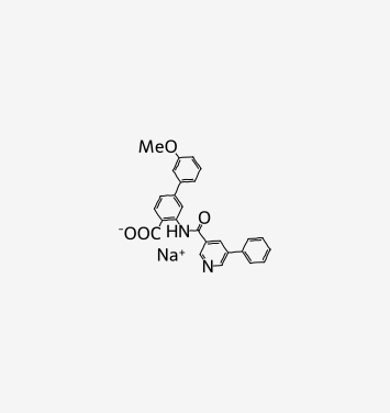 COc1cccc(-c2ccc(C(=O)[O-])c(NC(=O)c3cncc(-c4ccccc4)c3)c2)c1.[Na+]